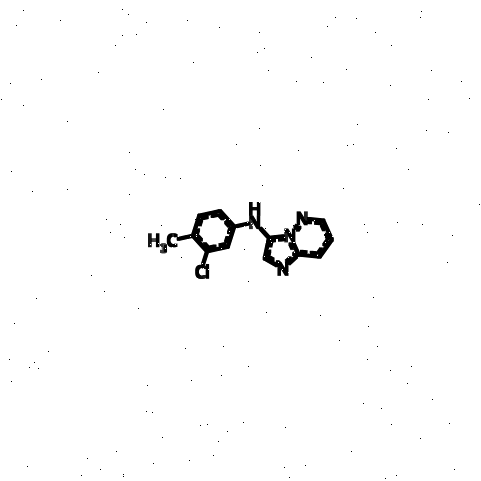 Cc1ccc(Nc2cnc3cccnn23)cc1Cl